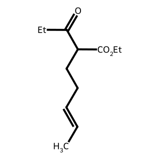 CC=CCCC(C(=O)CC)C(=O)OCC